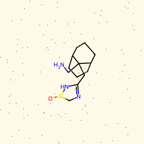 NCC1(CC2=NC[S+]([O-])N2)C2CCCC1CCC2